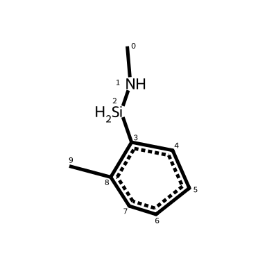 CN[SiH2]c1ccccc1C